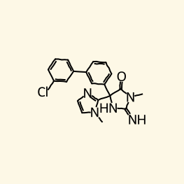 CN1C(=N)NC(c2cccc(-c3cccc(Cl)c3)c2)(c2nccn2C)C1=O